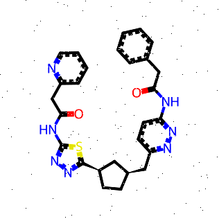 O=C(Cc1ccccc1)Nc1ccc(C[C@H]2CC[C@@H](c3nnc(NC(=O)Cc4ccccn4)s3)C2)nn1